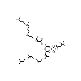 C/C(=C\C(=O)OC[C@@H](COP(=O)(O)OCC[N+](C)(C)C)OC(=O)/C=C(\C)CCC[C@H](C)CCC[C@H](C)CCCC(C)C)CCC[C@H](C)CCC[C@H](C)CCCC(C)C